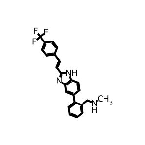 CNCc1ccccc1-c1ccc2[nH]c(C=Cc3ccc(C(F)(F)F)cc3)nc2c1